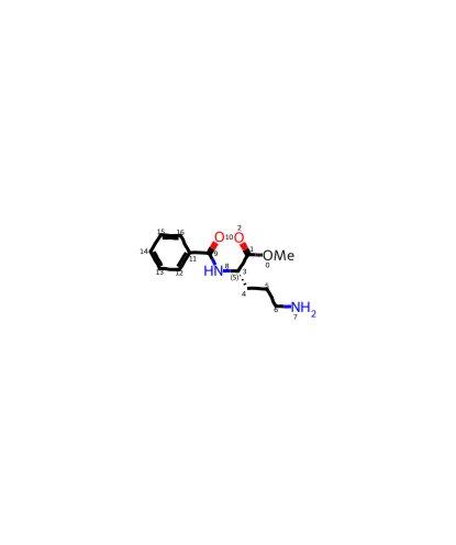 COC(=O)[C@H](CCCN)NC(=O)c1ccccc1